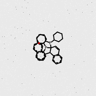 C1=CC(P(C2CCCCC2)C2CCCCC2)(P(C2CCCCC2)C2CCCCC2)C(c2cccc3ccccc23)c2ccccc21